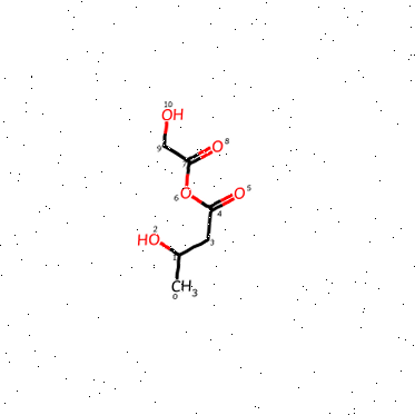 CC(O)CC(=O)OC(=O)CO